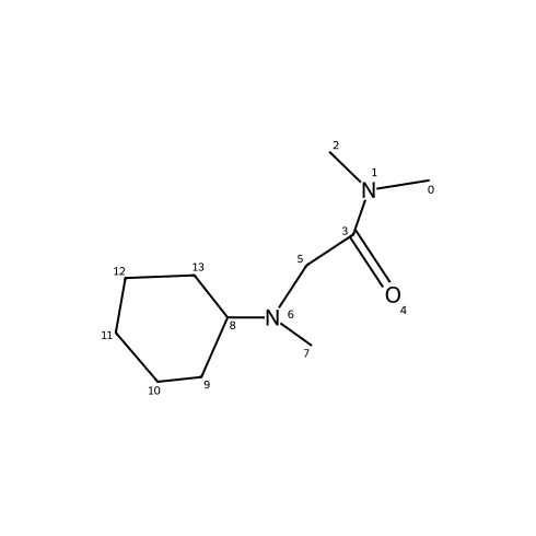 CN(C)C(=O)CN(C)C1CCCCC1